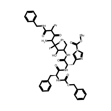 CC(C)CC(NC(=O)[C@H](Cc1cn(C(=O)OC(C)(C)C)cn1)NC(=O)[C@H](Cc1ccccc1)NC(=O)OCc1ccccc1)C(O)C(F)(F)C(N)C(=O)C(C(=O)NCc1ccccc1)C(C)C